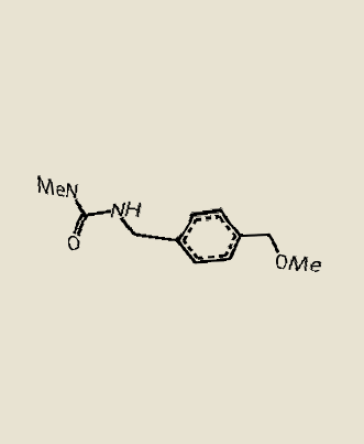 CNC(=O)NCc1ccc(COC)cc1